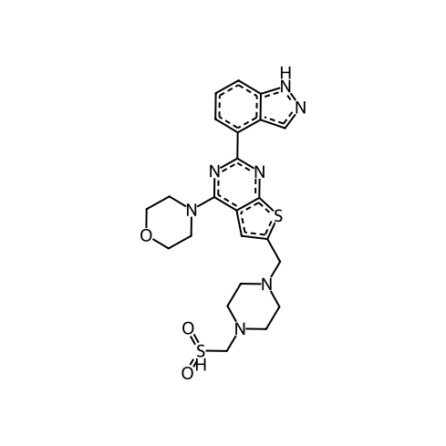 O=[SH](=O)CN1CCN(Cc2cc3c(N4CCOCC4)nc(-c4cccc5[nH]ncc45)nc3s2)CC1